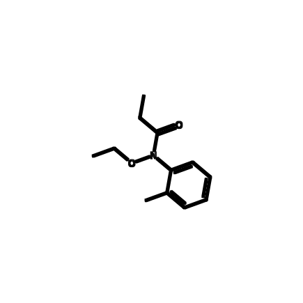 CCON(C(=O)CC)c1ccccc1C